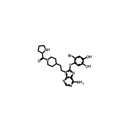 Nc1ncnc2c1nc(Sc1cc(O)c(O)cc1Br)n2CCC1CCN(C(=O)C2CCCN2)CC1